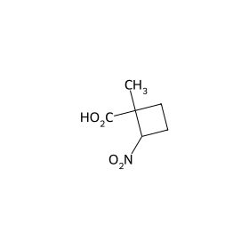 CC1(C(=O)O)CCC1[N+](=O)[O-]